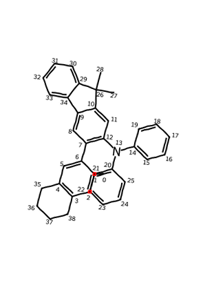 Cc1cc2c(cc1-c1cc3c(cc1N(c1ccccc1)c1ccccc1)C(C)(C)c1ccccc1-3)CCCC2